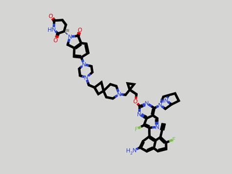 C#Cc1c(F)ccc2cc(N)cc(-c3ncc4c(N5CC6CCC(C5)N6)nc(OCC5(CN6CCC7(CC6)CC(CN6CCN(c8ccc9c(c8)CN([C@H]8CCC(=O)NC8=O)C9=O)CC6)C7)CC5)nc4c3F)c12